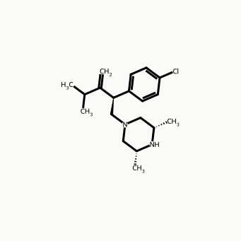 C=C(C(C)C)[C@H](CN1C[C@@H](C)N[C@@H](C)C1)c1ccc(Cl)cc1